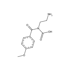 COc1ccc(C(=O)N(CCN)C(=O)O)cc1